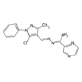 Cc1nn(-c2ccccc2)c(Cl)c1/C=N/N=C(\N)c1cnccn1